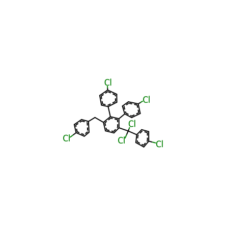 Clc1ccc(Cc2ccc(C(Cl)(Cl)c3ccc(Cl)cc3)c(-c3ccc(Cl)cc3)c2-c2ccc(Cl)cc2)cc1